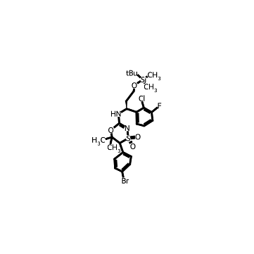 CC1(C)OC(N[C@@H](CCO[Si](C)(C)C(C)(C)C)c2cccc(F)c2Cl)=NS(=O)(=O)C1c1ccc(Br)cc1